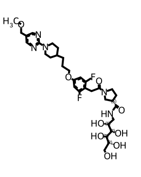 COCc1cnc(N2CCC(CCCOc3cc(F)c(CC(=O)N4CC[C@H](C(=O)NC[C@H](O)[C@@H](O)[C@H](O)[C@H](O)CO)C4)c(F)c3)CC2)nc1